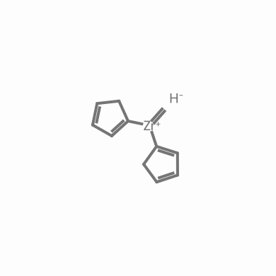 [CH2]=[Zr+]([C]1=CC=CC1)[C]1=CC=CC1.[H-]